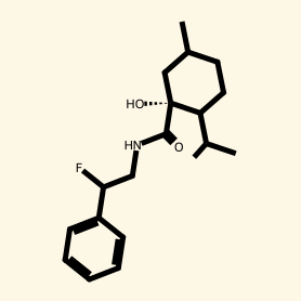 CC1CCC(C(C)C)[C@@](O)(C(=O)NCC(F)c2ccccc2)C1